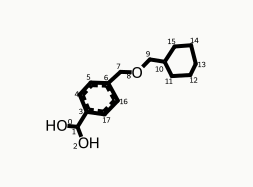 OC(O)c1ccc(COCC2CCCCC2)cc1